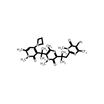 Cc1nc(C(C)(C)Cc2nc(C(F)(F)F)c(C(C)C)c(=O)n2C)c(=O)n(C)c1C(C)(C)c1c(N2CCC2)cc(C)n(C)c1=O